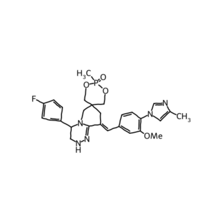 COc1cc(/C=C2\CC3(COP(C)(=O)OC3)CN3C2=NNCC3c2ccc(F)cc2)ccc1-n1cnc(C)c1